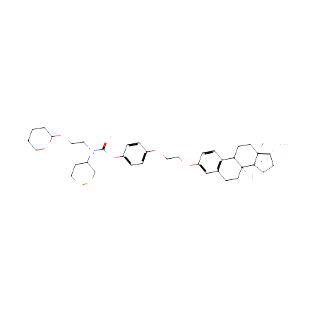 C[C@]12CC[C@@H]3c4ccc(OCCOc5ccc(OC(=O)N(CCOC6CCCCO6)C6CCSSC6)cc5)cc4CC[C@H]3[C@@H]1CC[C@@H]2O